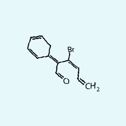 C=C/C=C(Br)\C(C=O)=C1\C=CC=CC1